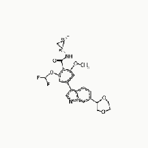 COc1cc(-c2cnn3cc(C4COCCO4)ccc23)cc(OC(F)F)c1C(=O)N[C@@H]1C[C@@H]1F